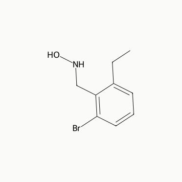 CCc1cccc(Br)c1CNO